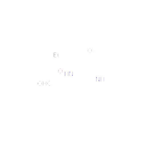 CCOC=O.O=c1[nH]cc[nH]1